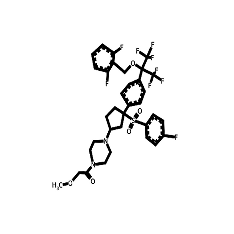 COCC(=O)N1CCN(C2CCC(c3ccc(C(OCc4c(F)cccc4F)(C(F)(F)F)C(F)(F)F)cc3)(S(=O)(=O)c3ccc(F)cc3)C2)CC1